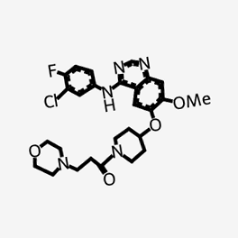 COc1cc2ncnc(Nc3ccc(F)c(Cl)c3)c2cc1OC1CCN(C(=O)CCN2CCOCC2)CC1